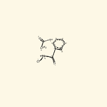 CC(=O)O.O=C(NCl)c1ccccc1